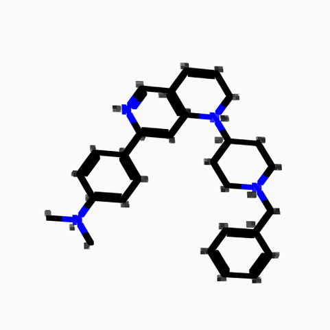 CN(C)c1ccc(-c2cc3c(cn2)C=CCN3C2CCN(Cc3ccccc3)CC2)cc1